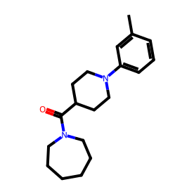 Cc1cccc(N2CCC(C(=O)N3CCCCCC3)CC2)c1